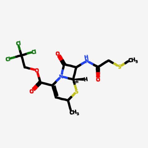 CSCC(=O)NC1C(=O)N2C(C(=O)OCC(Cl)(Cl)Cl)=CC(C)S[C@@H]12